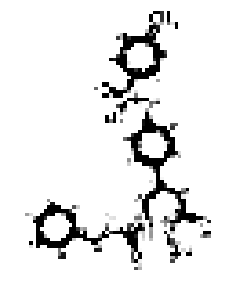 Cc1ccc(S(=O)(=O)Oc2ccc(C(CNC(=O)OCc3ccccc3)CC(=O)OC(C)(C)C)cc2)cc1